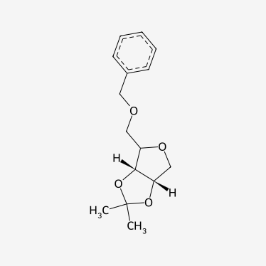 CC1(C)O[C@H]2COC(COCc3ccccc3)[C@H]2O1